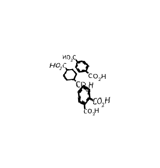 O=C(O)C1CCC(C(=O)O)CC1.O=C(O)c1ccc(C(=O)O)cc1.O=C(O)c1ccccc1C(=O)O